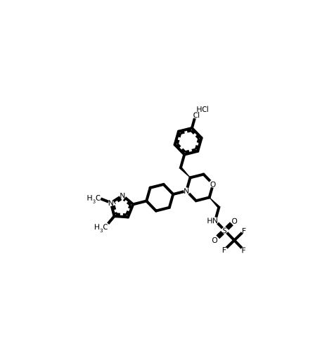 Cc1cc(C2CCC(N3C[C@H](CNS(=O)(=O)C(F)(F)F)OC[C@@H]3Cc3ccc(Cl)cc3)CC2)nn1C.Cl